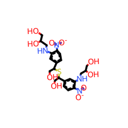 O=[N+]([O-])c1ccc(C(CO)SC(CO)c2ccc([N+](=O)[O-])c(NCC(O)CO)c2)cc1NCC(O)CO